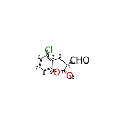 O=CC1Cc2c(Cl)cccc2OC1=O